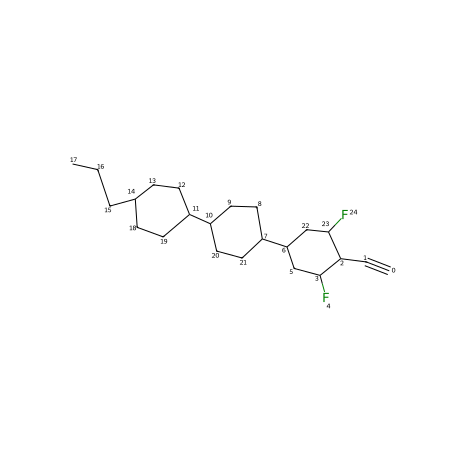 C#CC1C(F)CC(C2CCC(C3CCC(CCC)CC3)CC2)CC1F